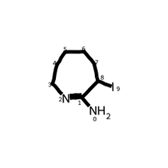 N/C1=N/CCCCCC1I